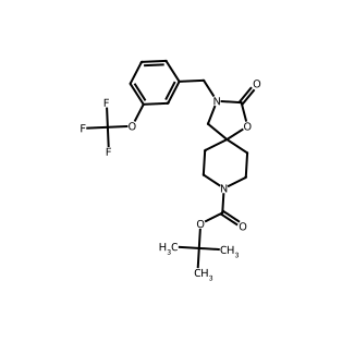 CC(C)(C)OC(=O)N1CCC2(CC1)CN(Cc1cccc(OC(F)(F)F)c1)C(=O)O2